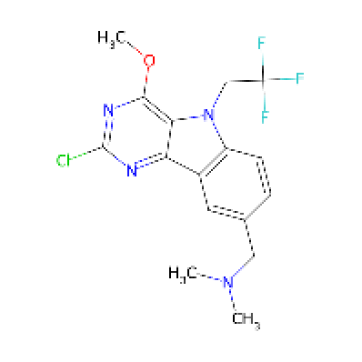 COc1nc(Cl)nc2c3cc(CN(C)C)ccc3n(CC(F)(F)F)c12